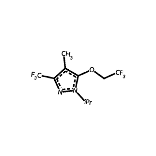 Cc1c(C(F)(F)F)nn(C(C)C)c1OCC(F)(F)F